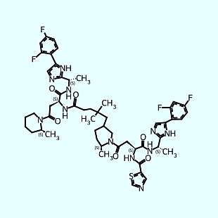 C[C@H](NC(=O)[C@H](CC(=O)N1CCCC[C@@H]1C)NC(=O)CCC(C)(C)CC1CC[C@H](C)N(C(=O)C[C@H](NC(=O)c2cncs2)C(=O)N[C@@H](C)c2ncc(-c3ccc(F)cc3F)[nH]2)C1)c1ncc(-c2ccc(F)cc2F)[nH]1